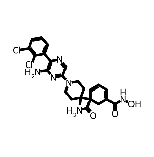 CC1(C2(C(N)=O)C=CC=C(C(=O)NO)C2)CCN(c2cnc(-c3cccc(Cl)c3Cl)c(N)n2)CC1